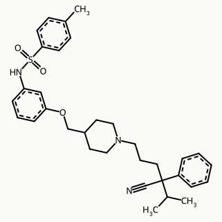 Cc1ccc(S(=O)(=O)Nc2cccc(OCC3CCN(CCCC(C#N)(c4ccccc4)C(C)C)CC3)c2)cc1